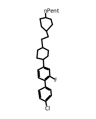 CCCCCC1CCC(CCC2CCC(c3ccc(-c4ccc(Cl)cc4)c(F)c3)CC2)CC1